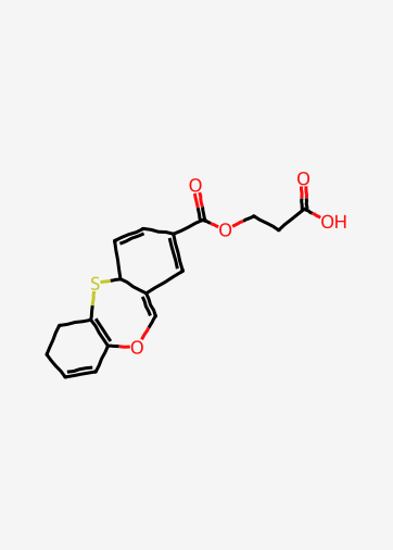 O=C(O)CCOC(=O)C1=CC2=COC3=C(CCC=C3)SC2C=C1